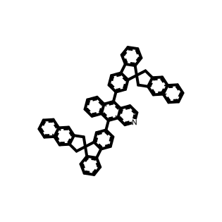 c1ccc2c(c1)-c1ccc(-c3c4ccccc4c(-c4ccc5c(c4)C4(Cc6cc7ccccc7cc6C4)c4ccccc4-5)c4cnccc34)cc1C21Cc2cc3ccccc3cc2C1